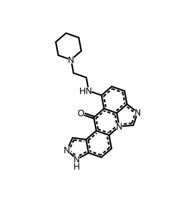 O=c1c2c(NCCN3CCCCC3)ccc3ncn(c4ccc5[nH]ncc5c14)c32